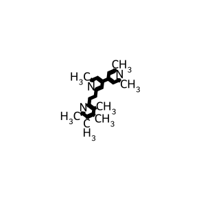 Cc1cc(-c2cc(C)nc(CCc3nc(C)c(C)c(C)c3C)c2)cc(C)n1